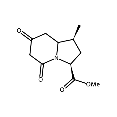 COC(=O)[C@@H]1C[C@H](C)C2CC(=O)CC(=O)N21